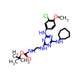 COc1ccc(Nc2nc(NCCNC(=O)OC(C)(C)C)nc(NC3CCCCCC3)n2)cc1Cl